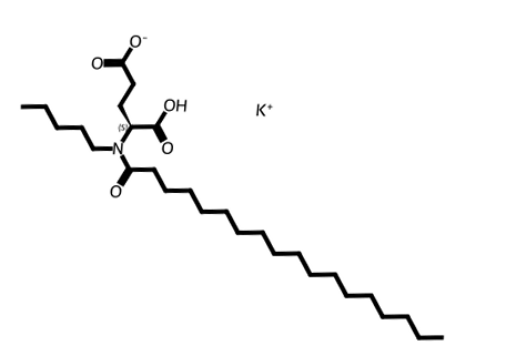 CCCCCCCCCCCCCCCCCC(=O)N(CCCCC)[C@@H](CCC(=O)[O-])C(=O)O.[K+]